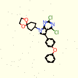 Clc1nc(Cl)c2c(-c3ccc(Oc4ccccc4)cc3)cn(C3CCC4(CC3)OCCO4)c2n1